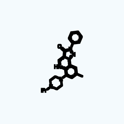 Cc1cc(N2CCN(C(C)C)CC2)c2[nH]cc3c(=O)n(-c4ccccc4)nc-3c2c1